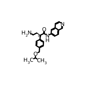 CC(C)OCc1ccc([C@@H](CCN)C(=O)Nc2ccc3cnccc3c2)cc1